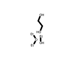 CCO.CCOCC.OCCO